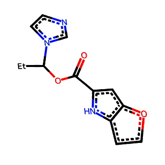 CCC(OC(=O)c1cc2occc2[nH]1)n1ccnc1